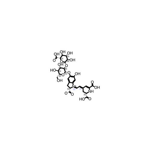 O=C(O)C1=C/C(=C/C=[N+]2\c3cc(O)c(O[C@@H]4O[C@H](CO)[C@@H](O)[C@H](O)[C@H]4O[C@@H]4O[C@H](C(=O)O)[C@@H](O)[C@H](O)[C@H]4O)cc3C[C@H]2C(=O)[O-])C[C@@H](C(=O)O)N1